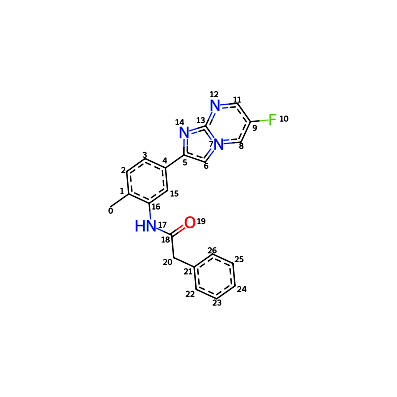 Cc1ccc(-c2cn3cc(F)cnc3n2)cc1NC(=O)Cc1ccccc1